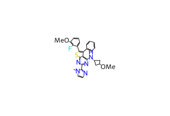 COc1cccc(-c2sc3nc(-c4nccn4C)nc(N[C@H]4C[C@H](OC)C4)c3c2-c2ccccc2)c1F